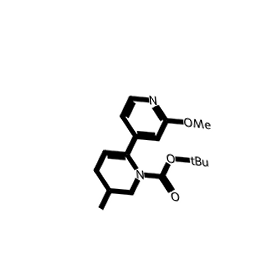 COc1cc(C2=CCC(C)CN2C(=O)OC(C)(C)C)ccn1